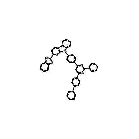 c1ccc(-c2ccc(-c3nc(-c4ccccc4)nc(-c4ccc(-n5c6ccccc6c6ccc(-c7nc8ccccc8s7)cc65)cc4)n3)cc2)cc1